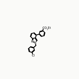 CCOC(=O)c1cccc(-c2cccc3nn(Cc4cccc(Cl)c4)cc23)c1